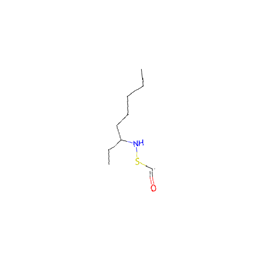 CCCCCC(CC)NS[C]=O